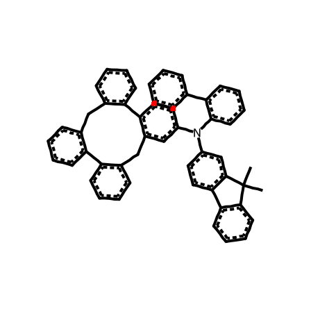 CC1(C)c2ccccc2-c2ccc(N(c3ccc4c(c3)Cc3ccccc3-c3ccccc3Cc3ccccc3-4)c3ccccc3-c3ccccc3)cc21